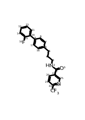 O=C(NCCCc1ccc(-c2ccccc2F)cc1)c1ccc(C(F)(F)F)nc1